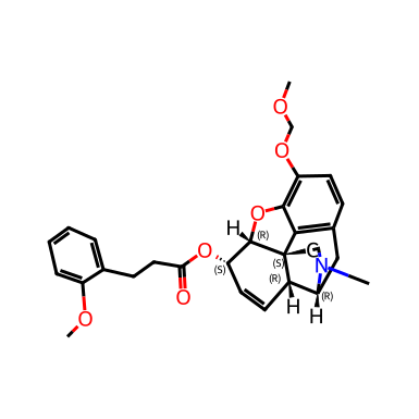 COCOc1ccc2c3c1O[C@H]1[C@@H](OC(=O)CCc4ccccc4OC)C=C[C@H]4[C@@H](C2)N(C)CC[C@@]341